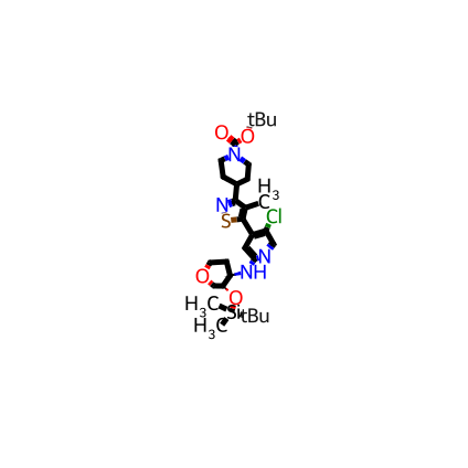 Cc1c(C2CCN(C(=O)OC(C)(C)C)CC2)nsc1-c1cc(N[C@@H]2CCOC[C@H]2O[Si](C)(C)C(C)(C)C)ncc1Cl